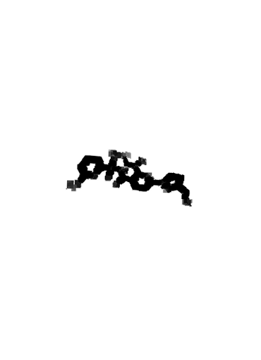 CCC[C@H](C)CN(CC)c1nc(-n2ccc(CC(C)C)n2)ccc1C(=O)NS(=O)(=O)c1cccc(N)n1